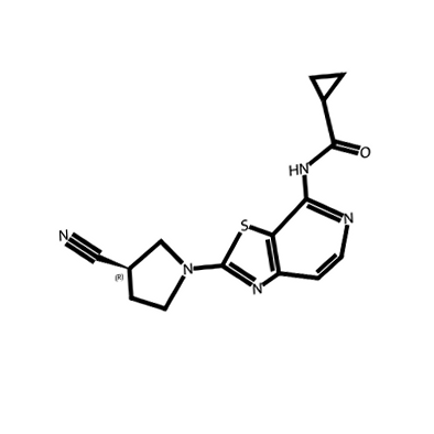 N#C[C@@H]1CCN(c2nc3ccnc(NC(=O)C4CC4)c3s2)C1